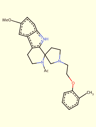 COc1ccc2[nH]c3c(c2c1)CCN(C(C)=O)C31CCN(CCOc2ccccc2C)C1